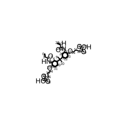 C=CC(=O)Nc1cc(C(C)(C)c2ccc(OCCCS(=O)(=O)O)c(NC(=O)C=C)c2)ccc1OCCCS(=O)(=O)O